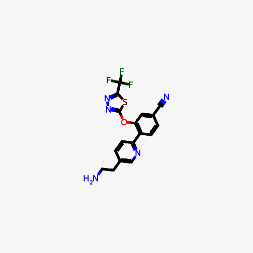 N#Cc1ccc(-c2ccc(CCN)cn2)c(Oc2nnc(C(F)(F)F)s2)c1